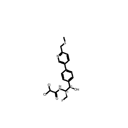 CSCc1ccc(-c2ccc([C@@H](O)[C@@H](CF)NC(=O)C(Cl)Cl)cc2)cn1